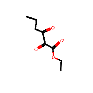 CCCC(=O)C(=O)C(=O)OCC